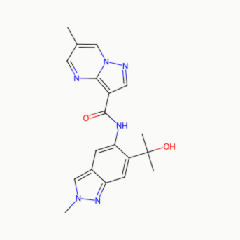 Cc1cnc2c(C(=O)Nc3cc4cn(C)nc4cc3C(C)(C)O)cnn2c1